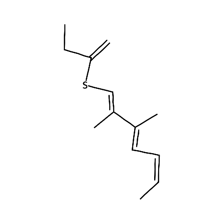 C=C(CC)S/C=C(C)/C(C)=C/C=C\C